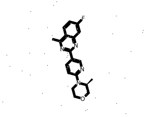 Cc1nc(-c2ccc(N3CCOC[C@@H]3C)nc2)nc2cc(F)ccc12